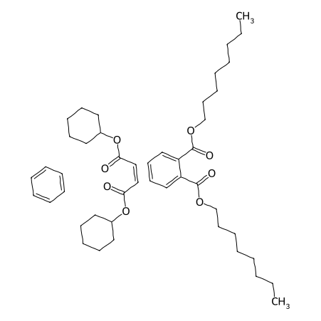 CCCCCCCCOC(=O)c1ccccc1C(=O)OCCCCCCCC.O=C(/C=C\C(=O)OC1CCCCC1)OC1CCCCC1.c1ccccc1